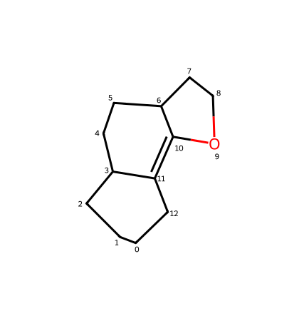 C1CCC2CCC3CCOC3=C2C1